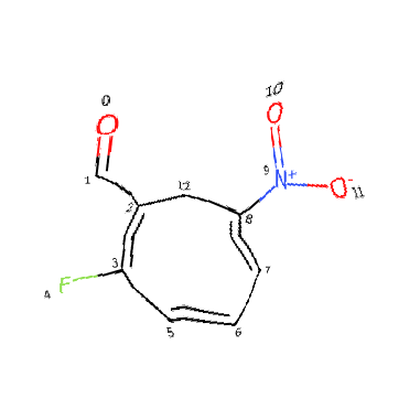 O=CC1=C(F)C=CC=C([N+](=O)[O-])C1